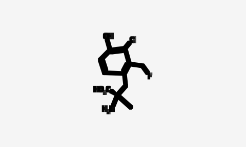 C[C@](N)(Cc1ccc(O)c(Cl)c1CF)C(=O)O